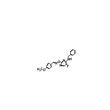 COc1ccc(C=NOc2ncc(F)c(NCc3ccccc3)n2)cc1